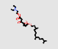 CCN(CC)CCOC(=O)CC(=O)c1ccc(OCCC(C)CCCC(C)CCCC(C)C)o1